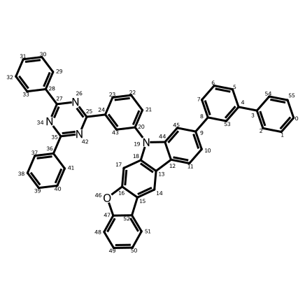 c1ccc(-c2cccc(-c3ccc4c5cc6c(cc5n(-c5cccc(-c7nc(-c8ccccc8)nc(-c8ccccc8)n7)c5)c4c3)oc3ccccc36)c2)cc1